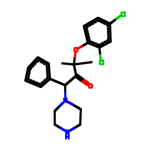 CC(C)(Oc1ccc(Cl)cc1Cl)C(=O)C(c1ccccc1)N1CCNCC1